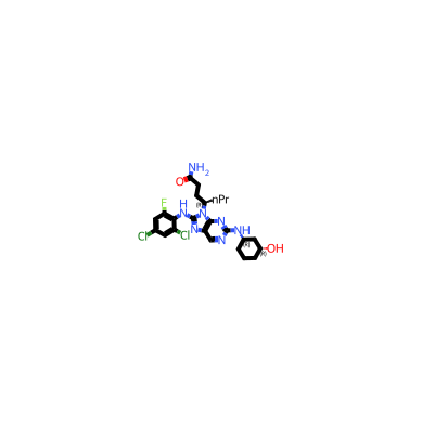 CCC[C@H](CCC(N)=O)n1c(Nc2c(F)cc(Cl)cc2Cl)nc2cnc(N[C@@H]3CCC[C@@H](O)C3)nc21